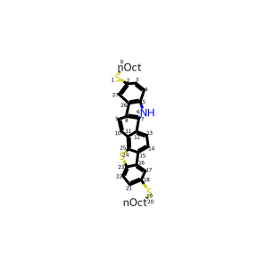 CCCCCCCCSc1ccc2[nH]c3c(ccc4c3ccc3c5cc(SCCCCCCCC)ccc5sc34)c2c1